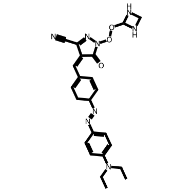 CCN(CC)c1ccc(/N=N/C2C=CC(/C=C3\C(=O)N(OOC4NCN4)N=C3C#N)=CC2)cc1